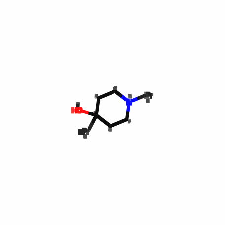 CCCC1(O)CCN(C(C)C)CC1